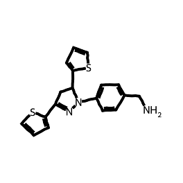 NCc1ccc(N2N=C(c3cccs3)CC2c2cccs2)cc1